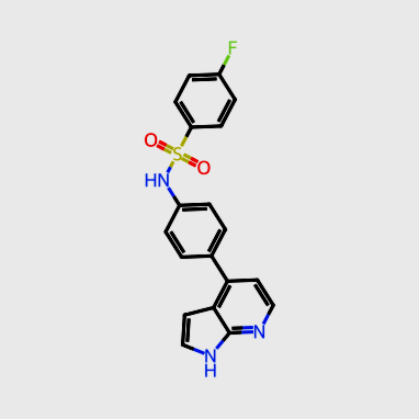 O=S(=O)(Nc1ccc(-c2ccnc3[nH]ccc23)cc1)c1ccc(F)cc1